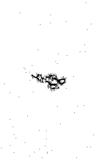 CCc1cnc(N(CCc2cs[c]n2)Cc2csc(-c3ccccc3)n2)nc1